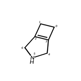 C1CC2=C1CNC2